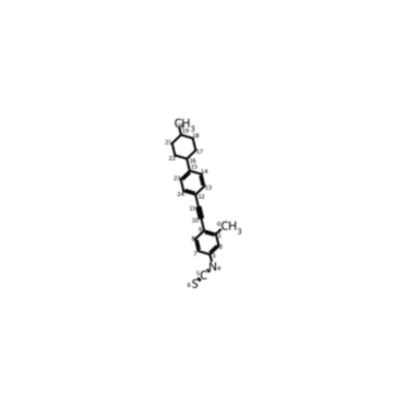 Cc1cc(N=C=S)ccc1C#Cc1ccc(C2CCC(C)CC2)cc1